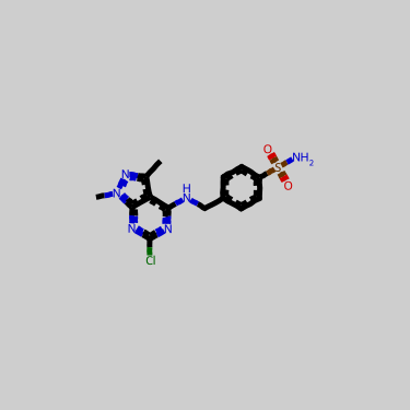 Cc1nn(C)c2nc(Cl)nc(NCc3ccc(S(N)(=O)=O)cc3)c12